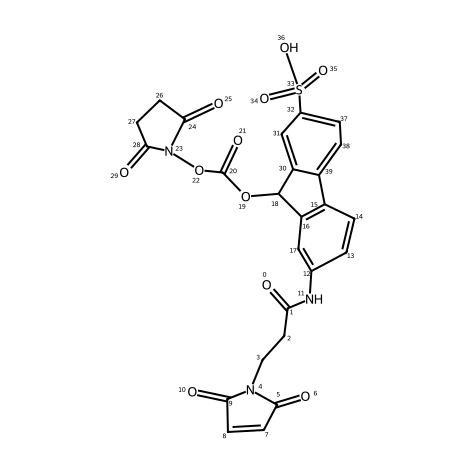 O=C(CCN1C(=O)C=CC1=O)Nc1ccc2c(c1)C(OC(=O)ON1C(=O)CCC1=O)c1cc(S(=O)(=O)O)ccc1-2